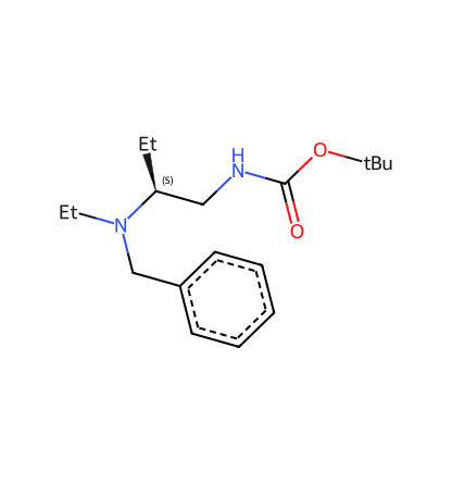 CC[C@@H](CNC(=O)OC(C)(C)C)N(CC)Cc1ccccc1